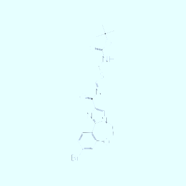 CC(C)(C)OC(=O)NCS/C=N/C(=O)c1cn2c(n1)-c1ccc(Br)cc1OCC2